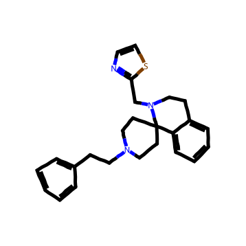 c1ccc(CCN2CCC3(CC2)c2ccccc2CCN3Cc2nccs2)cc1